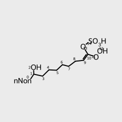 CCCCCCCCCC(O)CCCCCCC=C(OO)OS(=O)(=O)O